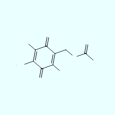 CC1=C(C)C(=O)C(COC(=O)C(C)C)=C(C)C1=O